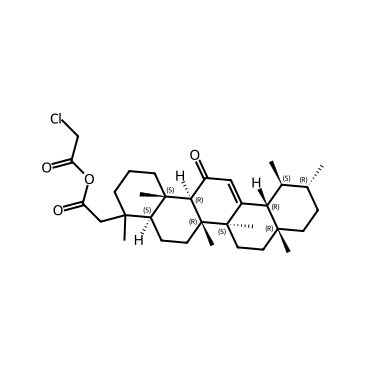 C[C@H]1[C@H](C)CC[C@]2(C)CC[C@]3(C)C(=CC(=O)[C@@H]4[C@@]5(C)CCCC(C)(CC(=O)OC(=O)CCl)[C@@H]5CC[C@]43C)[C@H]12